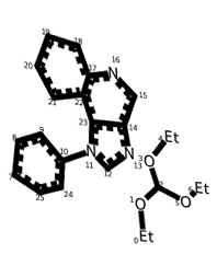 CCOC(OCC)OCC.c1ccc(-n2cnc3cnc4ccccc4c32)cc1